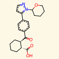 O=C(O)[C@@H]1CCCC[C@H]1C(=O)c1ccc(-c2ccnn2C2CCCCO2)cc1